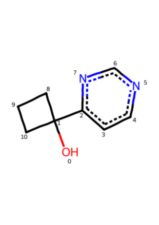 OC1(c2ccncn2)CCC1